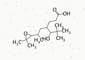 CC(CC(CCC(=O)O)C(O)C(C)(C)C)C1OC1(C)C